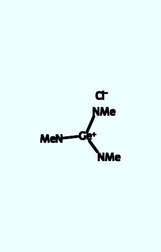 C[NH][Ge+]([NH]C)[NH]C.[Cl-]